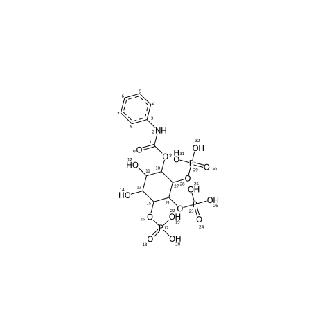 O=C(Nc1ccccc1)OC1C(O)C(O)C(OP(=O)(O)O)C(OP(=O)(O)O)C1OP(=O)(O)O